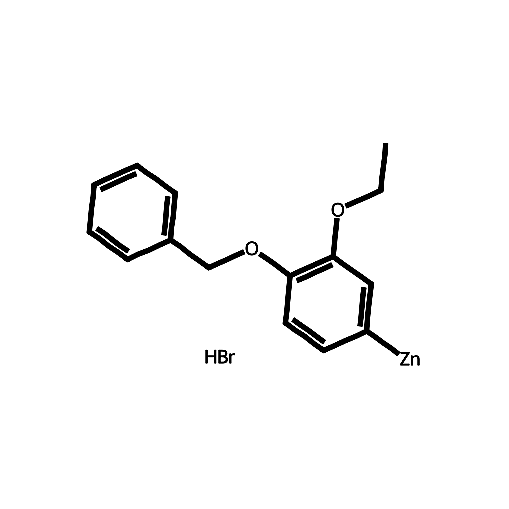 Br.CCOc1c[c]([Zn])ccc1OCc1ccccc1